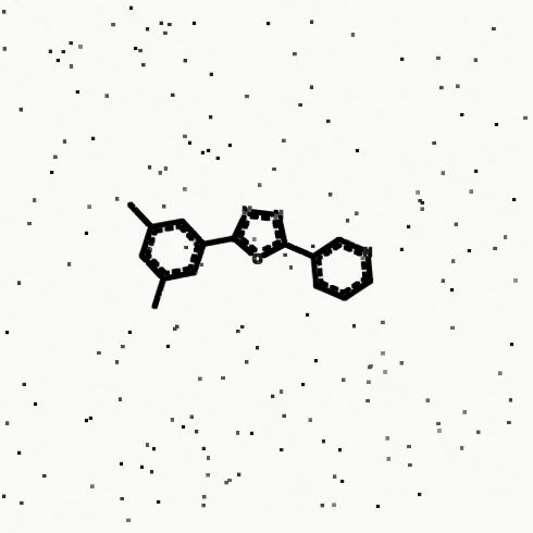 Cc1cc(C)cc(-c2nnc(-c3cccnc3)o2)c1